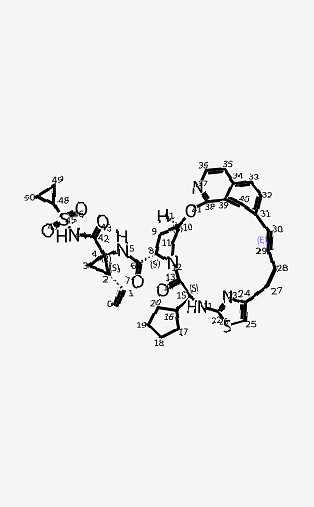 C=C[C@@H]1C[C@]1(NC(=O)[C@@H]1C[C@@H]2CN1C(=O)[C@H](C1CCCC1)Nc1nc(cs1)CC/C=C/c1ccc3ccnc(c3c1)O2)C(=O)NS(=O)(=O)C1CC1